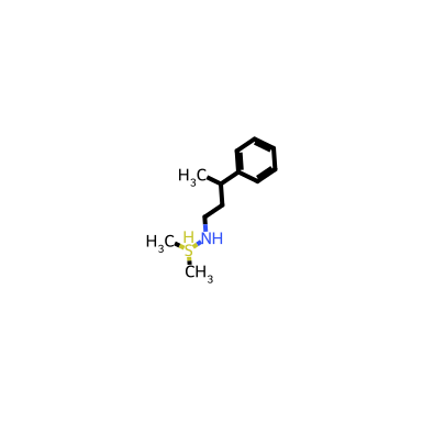 CC(CCN[SH](C)C)c1ccccc1